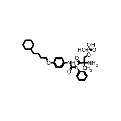 CC(N)(COP(=O)(O)O)C(=O)N(C(=O)Nc1ccc(OCCCCC2CCCCC2)cc1)c1ccccc1